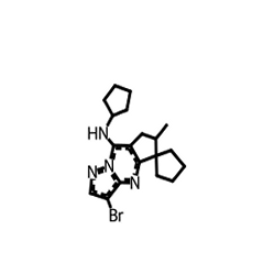 CC1Cc2c(nc3c(Br)cnn3c2NC2CCCC2)C12CCCC2